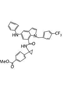 COC(=O)c1ccc(C2(NC(=O)c3cc(Nc4ccccc4)cc4ccn(Cc5ccc(C(F)(F)F)cc5)c34)CC2)cc1